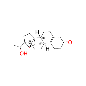 CC(O)C12CCC3(CC1)[C@@H]1CCC4=C(CCC(=O)C4)[C@H]1CC[C@]23C